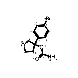 NC(=O)OC1(c2ccc(Br)cc2)CCOC1